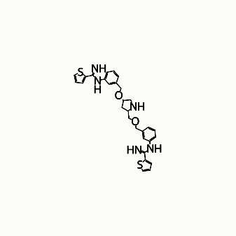 N=C(Nc1cccc(COC[C@H]2C[C@@H](OCc3cccc(NC(=N)c4cccs4)c3)CN2)c1)c1cccs1